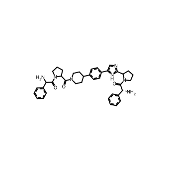 NC(C(=O)N1CCCC1C(=O)N1CCC(c2ccc(-c3cnc(C4CCCN4C(=O)[C@H](N)c4ccccc4)[nH]3)cc2)CC1)c1ccccc1